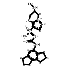 CCNC1COc2c(S(N)(=O)=NC(=O)Nc3cc4c(c5c3CCC5)CCC4)cnn2C1